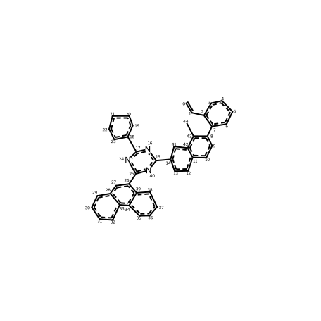 C=Cc1ccccc1-c1ccc2ccc(-c3nc(-c4ccccc4)nc(-c4cc5ccccc5c5ccccc45)n3)cc2c1C